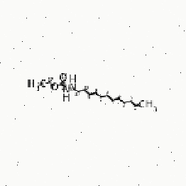 CCCCCCCCCCCCNNC(=O)OCC